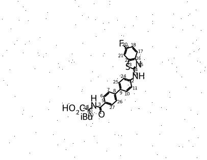 CC[C@H](C)[C@H](NC(=O)c1ccc(-c2ccc(Nc3nc4ccc(F)cc4s3)cc2)cc1)C(=O)O